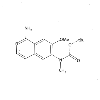 COc1cc2c(N)nccc2cc1N(C)C(=O)OC(C)(C)C